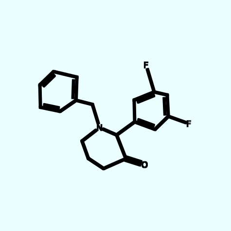 O=C1CCCN(Cc2ccccc2)C1c1cc(F)cc(F)c1